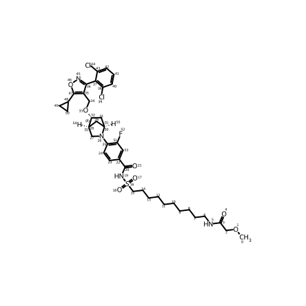 COCC(=O)NCCCCCCCCCCS(=O)(=O)NC(=O)c1ccc(N2C[C@@H]3C[C@H]2C[C@H]3OCc2c(-c3c(Cl)cccc3Cl)noc2C2CC2)c(F)c1